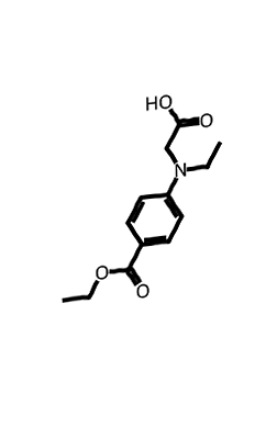 CCOC(=O)c1ccc(N(CC)CC(=O)O)cc1